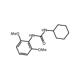 COc1cccc(OC)c1NC(=O)NC1CCCCC1